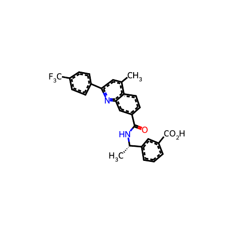 Cc1cc(-c2ccc(C(F)(F)F)cc2)nc2cc(C(=O)N[C@@H](C)c3cccc(C(=O)O)c3)ccc12